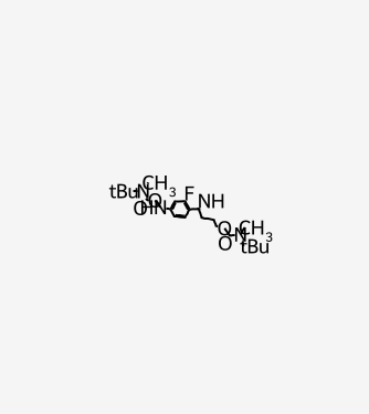 CN(C(=O)OCCCC(=N)c1ccc(NOC(=O)N(C)C(C)(C)C)cc1F)C(C)(C)C